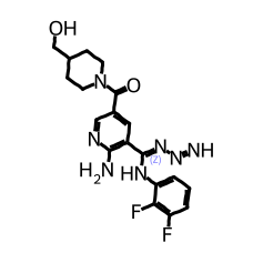 N=N/N=C(\Nc1cccc(F)c1F)c1cc(C(=O)N2CCC(CO)CC2)cnc1N